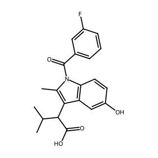 Cc1c(C(C(=O)O)C(C)C)c2cc(O)ccc2n1C(=O)c1cccc(F)c1